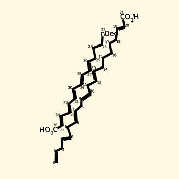 C=CCC=CCC=CCC=CCC=CCCCCCC=CC(=O)O.CCCCCCCCCCCCCC=CC=CC=CC=CC=CC(=O)O